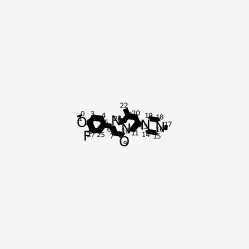 COc1ccc(-c2cc(=O)n3cc(N4CCN(C)CC4)cc(C)c3n2)cc1F